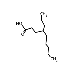 CCCCCC(CCC)CCC(=O)O